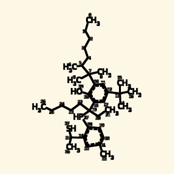 CCCCCC(C)C(C)(C)c1cc(C(C)(C)C)cc(C(CC)(CCCCC)Pc2ccc(C)cc2C(C)S)c1O